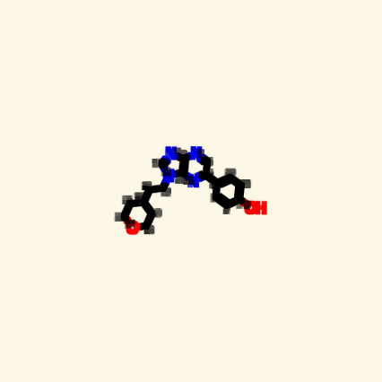 Oc1ccc(-c2cnc3ncn(CCC4CCOCC4)c3n2)cc1